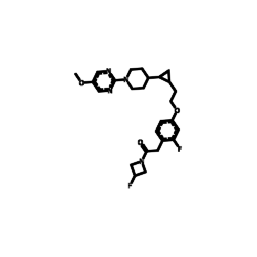 COc1cnc(N2CCC(C3CC3CCOc3ccc(CC(=O)N4CC(F)C4)c(F)c3)CC2)nc1